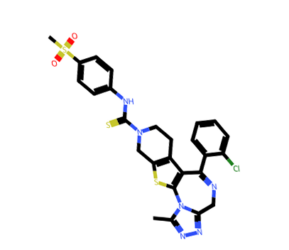 Cc1nnc2n1-c1sc3c(c1C(c1ccccc1Cl)=NC2)CCN(C(=S)Nc1ccc(S(C)(=O)=O)cc1)C3